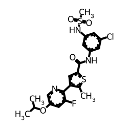 Cc1sc(C(=O)Nc2cc(Cl)cc(NS(C)(=O)=O)c2)cc1-c1ncc(OC(C)C)cc1F